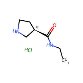 Cl.O=C(NCC(F)(F)F)[C@@H]1CCNC1